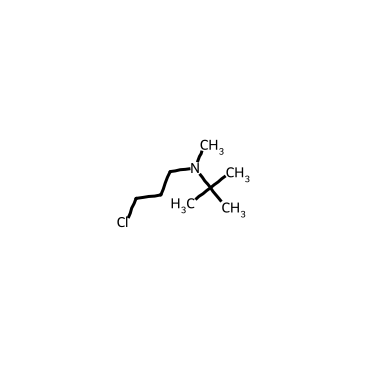 CN(CCCCl)C(C)(C)C